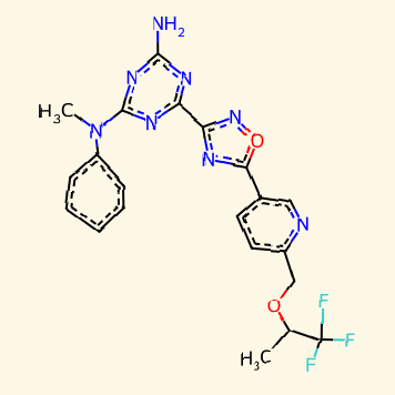 CC(OCc1ccc(-c2nc(-c3nc(N)nc(N(C)c4ccccc4)n3)no2)cn1)C(F)(F)F